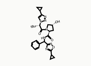 CC(C)(C)[C@@H](C(=O)N1C[C@H](O)C[C@H]1C(=O)NC(c1ccccc1)c1noc(C2CC2)n1)n1cc(C2CC2)nn1